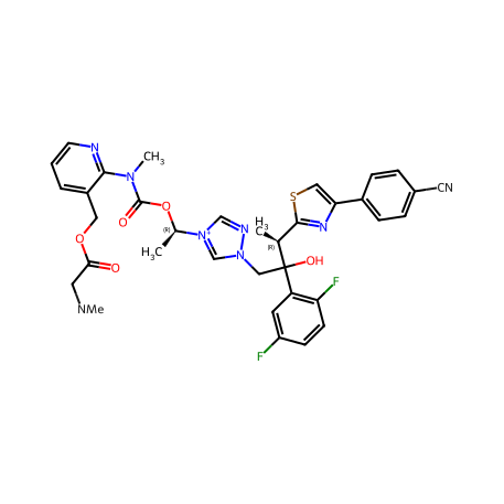 CNCC(=O)OCc1cccnc1N(C)C(=O)O[C@H](C)[n+]1cnn(CC(O)(c2cc(F)ccc2F)[C@@H](C)c2nc(-c3ccc(C#N)cc3)cs2)c1